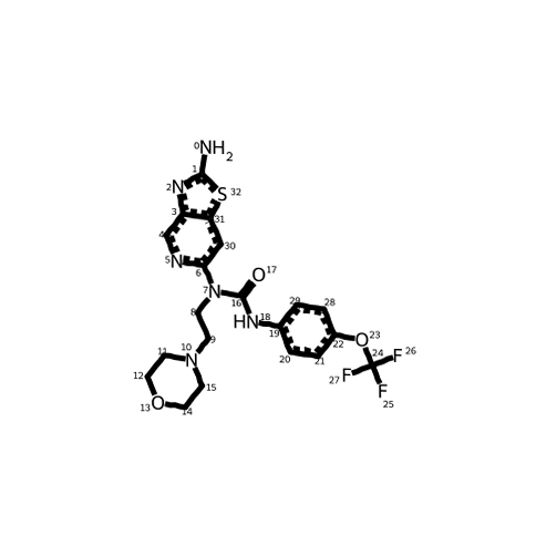 Nc1nc2cnc(N(CCN3CCOCC3)C(=O)Nc3ccc(OC(F)(F)F)cc3)cc2s1